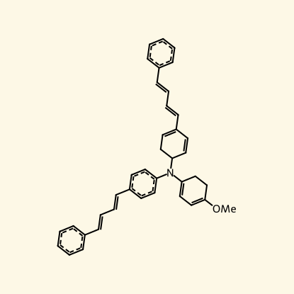 COC1=CC=C(N(c2ccc(/C=C/C=C/c3ccccc3)cc2)C2C=CC(/C=C/C=C/c3ccccc3)=CC2)CC1